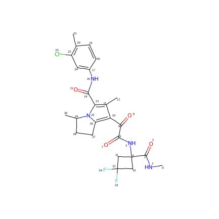 CNC(=O)C1(NC(=O)C(=O)c2c(C)c(C(=O)Nc3ccc(C)c(Cl)c3)n3c2CCC3C)CC(F)(F)C1